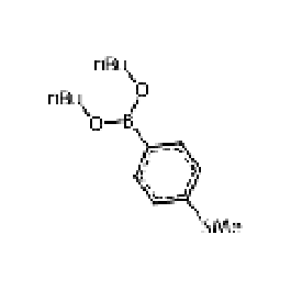 CCCCOB(OCCCC)c1ccc(SC)cc1